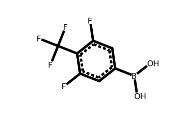 OB(O)c1cc(F)c(C(F)(F)F)c(F)c1